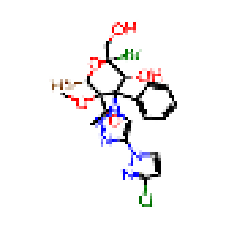 CO[C@@]1(C(C)=O)[C@@H](S)O[C@](Br)(CO)[C@H](O)C1(c1ccccc1)n1cc(-n2ccc(Cl)n2)nn1